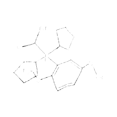 COc1ccc(OC)c([PH]([CH](Cl)[Pd])(C2CCCC2)C2CCCC2)c1